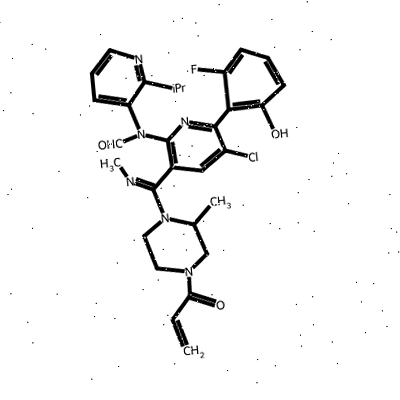 C=CC(=O)N1CCN(/C(=N/C)c2cc(Cl)c(-c3c(O)cccc3F)nc2N(C=O)c2cccnc2C(C)C)C(C)C1